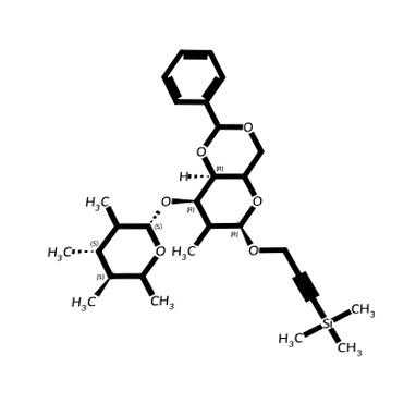 CC1O[C@@H](O[C@@H]2C(C)[C@H](OCC#C[Si](C)(C)C)OC3COC(c4ccccc4)O[C@@H]32)C(C)[C@@H](C)[C@@H]1C